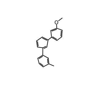 COc1cccc(-c2cccc(-c3cccc(C)c3)c2)c1